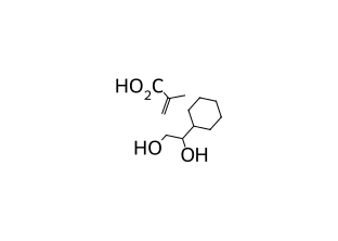 C=C(C)C(=O)O.OCC(O)C1CCCCC1